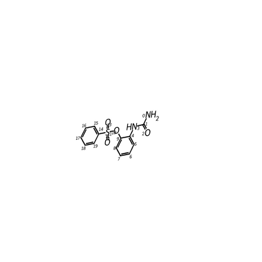 NC(=O)Nc1ccccc1OS(=O)(=O)c1ccccc1